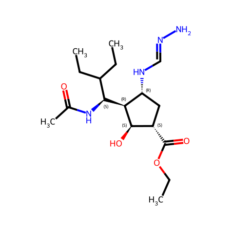 CCOC(=O)[C@H]1C[C@@H](NC=NN)[C@H]([C@@H](NC(C)=O)C(CC)CC)[C@@H]1O